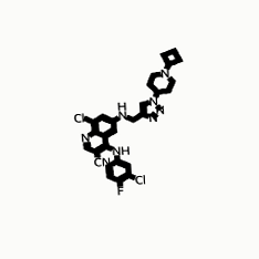 N#Cc1cnc2c(Cl)cc(NCc3cn(C4CCN(C5CCC5)CC4)nn3)cc2c1Nc1ccc(F)c(Cl)c1